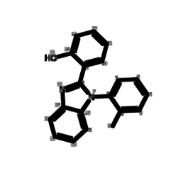 Cc1ccccc1-n1c(-c2ccccc2O)nc2ccccc21